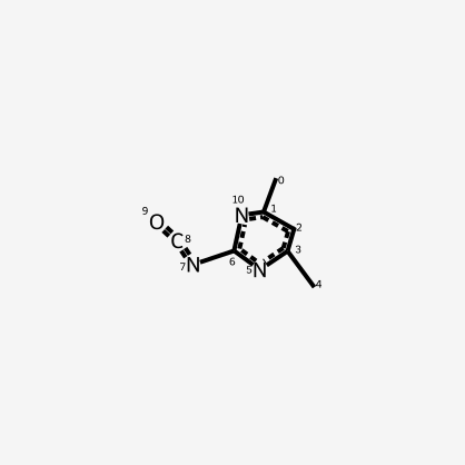 Cc1cc(C)nc(N=C=O)n1